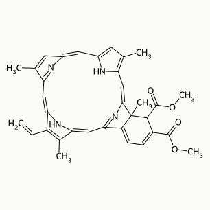 C=Cc1c(C)c2cc3nc(cc4[nH]c(cc5nc(cc1[nH]2)C(C)=C5)cc4C)C1(C)C3=CC=C(C(=O)OC)C1C(=O)OC